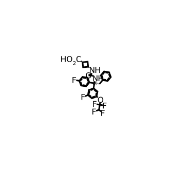 O=C(N[C@](Cc1ccccc1)(c1ccc(F)cc1)c1cc(F)cc(OC(F)(F)C(F)F)c1)N[C@H]1C[C@H](C(=O)O)C1